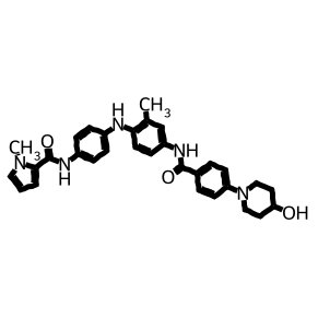 Cc1cc(NC(=O)c2ccc(N3CCC(O)CC3)cc2)ccc1Nc1ccc(NC(=O)c2cccn2C)cc1